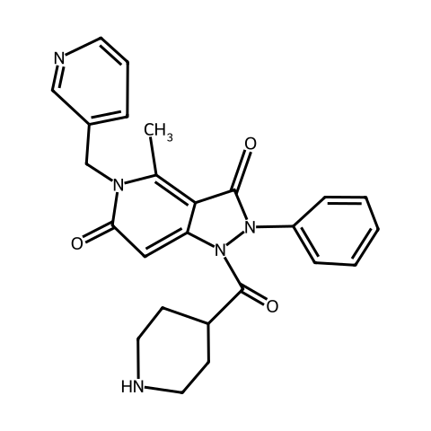 Cc1c2c(=O)n(-c3ccccc3)n(C(=O)C3CCNCC3)c2cc(=O)n1Cc1cccnc1